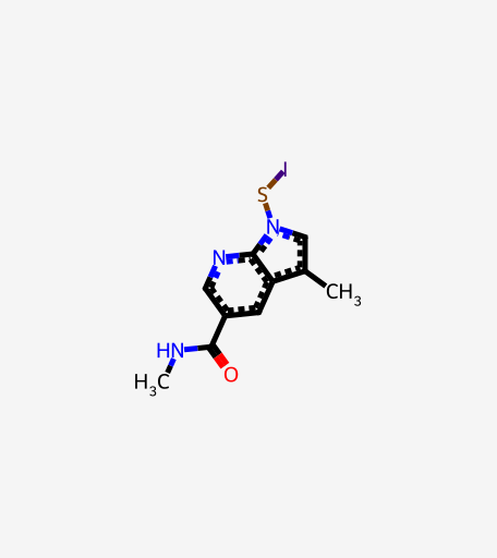 CNC(=O)c1cnc2c(c1)c(C)cn2SI